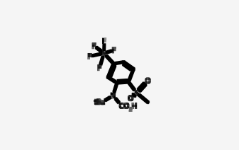 CC(C)(C)N(C(=O)O)c1cc(S(F)(F)(F)(F)F)ccc1S(C)(=O)=O